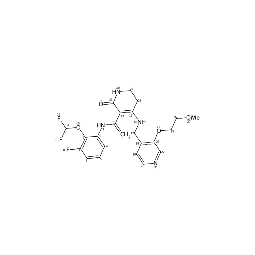 C=C(Nc1cccc(F)c1OC(F)F)C1=C(NCc2ccncc2OCCOC)CCNC1=O